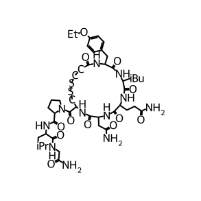 CCOc1ccc(CC2NC(=O)CCSSCC(C(=O)N3CCCC3C(=O)NC(CC(C)C)C(=O)NCC(N)=O)NC(=O)C(CC(N)=O)NC(=O)C(CCC(N)=O)NC(=O)C(C(C)CC)NC2=O)cc1